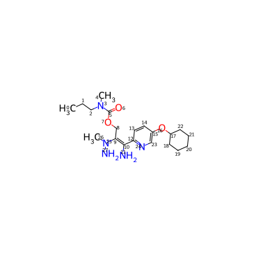 CCCN(C)C(=O)OC/C(=C(/N)c1ccc(OC2CCCCC2)cn1)N(C)N